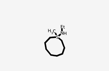 CCNS1(C)CCCCCCCC1